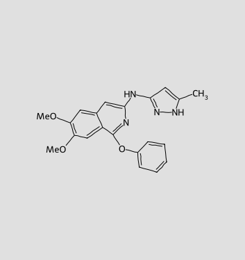 COc1cc2cc(Nc3cc(C)[nH]n3)nc(Oc3ccccc3)c2cc1OC